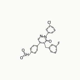 O=c1c(Cc2cccc(F)c2)c(-c2ccc(C[SH](=O)=O)cc2)cnn1-c1cccc(Cl)c1